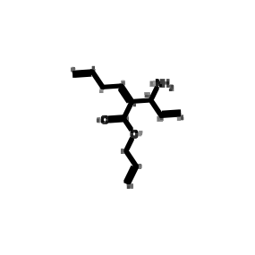 C=CCC=C(C(=O)OCC=C)C(N)C=C